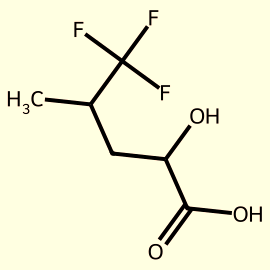 CC(CC(O)C(=O)O)C(F)(F)F